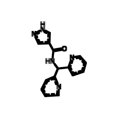 O=C(NC(c1ccccn1)c1ccccn1)c1cn[nH]c1